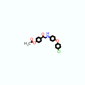 CC(=O)Oc1ccc(C(=O)CNc2ccc(Oc3ccc(Cl)cc3)cc2)cc1